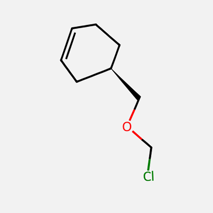 ClCOC[C@H]1CC=CCC1